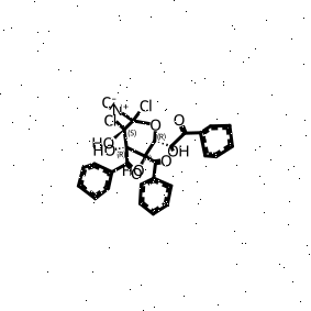 [C-]#[N+]C1(Cl)O[C@H](C(O)C(=O)c2ccccc2)[C@](O)(C(=O)c2ccccc2)[C@@](O)(C(=O)c2ccccc2)[C@]1(O)Cl